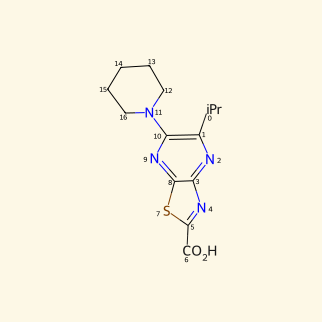 CC(C)c1nc2nc(C(=O)O)sc2nc1N1CCCCC1